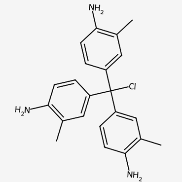 Cc1cc(C(Cl)(c2ccc(N)c(C)c2)c2ccc(N)c(C)c2)ccc1N